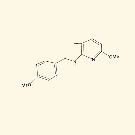 COc1ccc(CNc2nc(OC)ccc2C)cc1